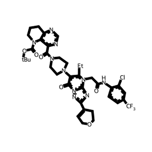 CCc1c(N2CCN(C(=O)c3ncnc4c3N(C(=O)OC(C)(C)C)CCC4)CC2)c(=O)n2nc(C3=CCOCC3)nc2n1CC(=O)Nc1ccc(C(F)(F)F)cc1Cl